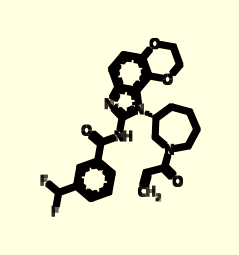 C=CC(=O)N1CCCC[C@@H](n2c(NC(=O)c3cccc(C(F)F)c3)nc3ccc4c(c32)OCCO4)C1